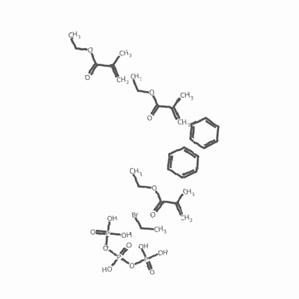 C=C(C)C(=O)OCC.C=C(C)C(=O)OCC.C=C(C)C(=O)OCC.CCBr.O=P(O)(O)OP(=O)(O)OP(=O)(O)O.c1ccccc1.c1ccccc1